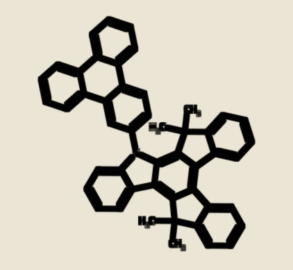 CC1(C)c2ccccc2-c2c3c(c4c(c21)c1ccccc1n4-c1ccc2c4ccccc4c4ccccc4c2c1)C(C)(C)c1ccccc1-3